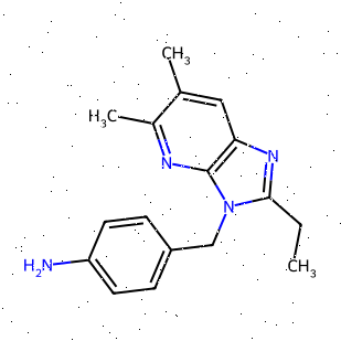 CCc1nc2cc(C)c(C)nc2n1Cc1ccc(N)cc1